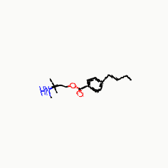 CCCCc1ccc(C(=O)OCCC(C)(C)NC)cc1